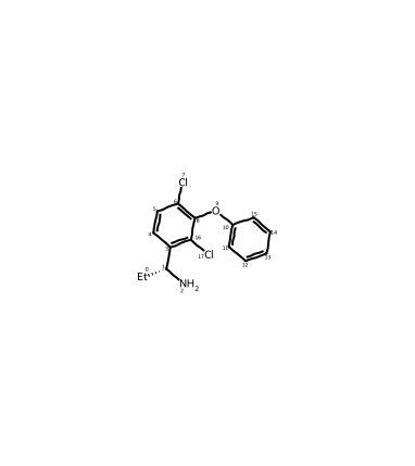 CC[C@@H](N)c1ccc(Cl)c(Oc2ccccc2)c1Cl